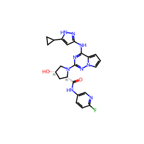 O=C(Nc1ccc(F)nc1)[C@@H]1C[C@H](O)CN1c1nc(Nc2cc(C3CC3)[nH]n2)c2cccn2n1